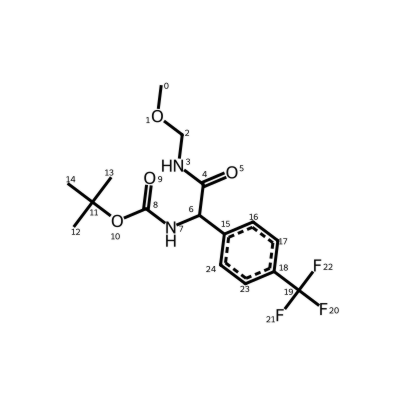 COCNC(=O)C(NC(=O)OC(C)(C)C)c1ccc(C(F)(F)F)cc1